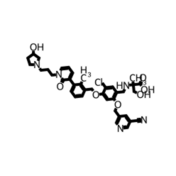 Cc1c(COc2cc(OCc3cncc(C#N)c3)c(CNC(C)(CO)C(=O)O)cc2Cl)cccc1-c1cccn(CCCN2CCC(O)C2)c1=O